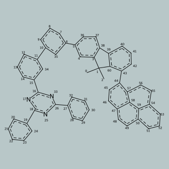 CC1(C)c2cc(-c3cccc(-c4cccc(-c5nc(-c6ccccc6)nc(-c6ccccc6)n5)c4)c3)ccc2-c2cccc(-c3ccc4ccc5cccc6ccc3c4c56)c21